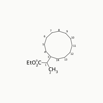 CCOC(=O)C(C)C1CCCCCCCCCCC1